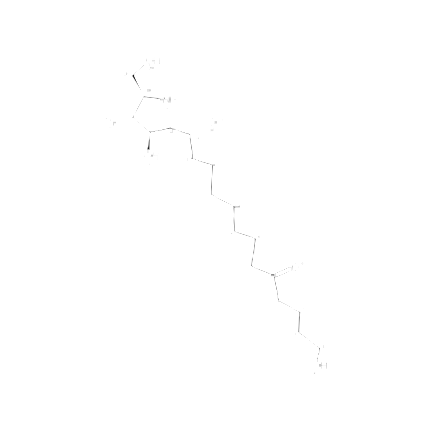 O=C(CCCCO)CCCCCCC[C@@H](O)[C@H]1N[C@H](CO)[C@@H](O)[C@@H]1O